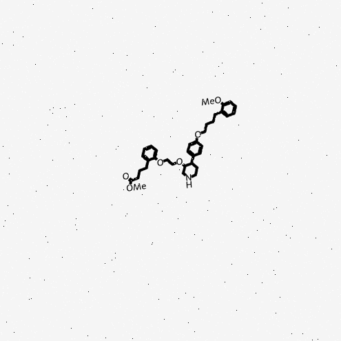 COC(=O)CCCc1ccccc1OCCOC1CNCCC1c1ccc(OCCCCc2ccccc2OC)cc1